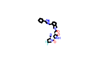 N#C[C@@H]1CC(F)(F)CN1C(=O)[C@@H]1C[C@@H](CC(=O)N2Cc3cccc(Cn4cc(-c5ccccc5)nn4)c3C2)C(=O)N1